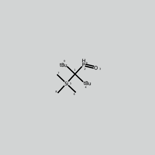 CC(C)(C)C([PH2]=O)(C(C)(C)C)[Si](C)(C)C